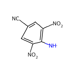 N#Cc1cc([N+](=O)[O-])c([NH])c([N+](=O)[O-])c1